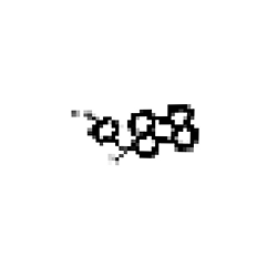 CC(C)N(c1ccc(C(C)(C)C)cc1)c1ccc2c3cccc4cccc(c5cccc1c52)c43